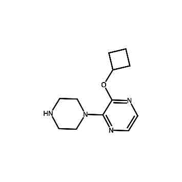 c1cnc(N2CCNCC2)c(OC2CCC2)n1